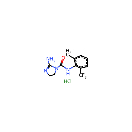 Cc1cccc(C(F)(F)F)c1NC(=O)N1CCN=C1N.Cl